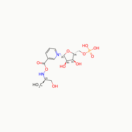 O=C(ON[C@@H](CO)C(=O)O)c1ccc[n+]([C@@H]2O[C@H](COP(=O)(O)O)[C@@H](O)[C@H]2O)c1